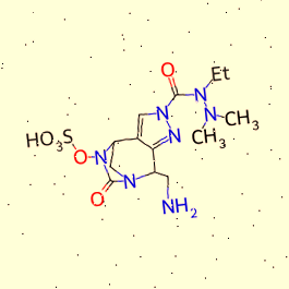 CCN(C(=O)n1cc2c(n1)C(CN)N1CC2N(OS(=O)(=O)O)C1=O)N(C)C